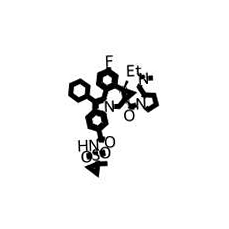 CCN(C)CC1CCCN1C(=O)[C@@]12Cn3c(c(C4CCCCC4)c4ccc(C(=O)NS(=O)(=O)C5(C)CC5)cc43)-c3ccc(F)cc3[C@]1(C)C2